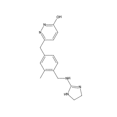 Cc1cc(Cc2ccc(O)nn2)ccc1CNC1=NCCN1